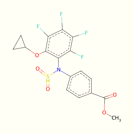 COC(=O)c1ccc(N(c2c(F)c(F)c(F)c(F)c2OC2CC2)[SH](=O)=O)cc1